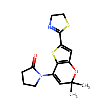 CC1(C)C=C(N2CCCC2=O)c2sc(C3=NCCS3)cc2O1